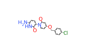 Nc1ccc(-n2ccc(OCc3ccc(Cl)cc3)cc2=O)c(=O)[nH]1